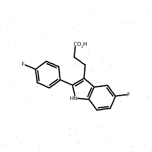 O=C(O)CCc1c(-c2ccc(F)cc2)[nH]c2ccc(F)cc12